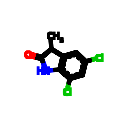 CC1C(=O)Nc2c(Cl)cc(Cl)cc21